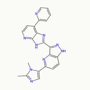 Cc1ncc(-c2ccc3[nH]nc(-c4nc5c(-c6ccccn6)ccnc5[nH]4)c3n2)n1C